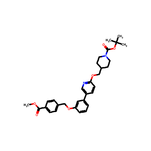 COC(=O)c1ccc(COc2cccc(-c3ccc(OCC4CCN(C(=O)OC(C)(C)C)CC4)nc3)c2)cc1